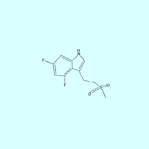 [CH2]S(=O)(=O)CCc1c[nH]c2cc(F)cc(F)c12